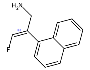 NC/C(=C/F)c1cccc2ccccc12